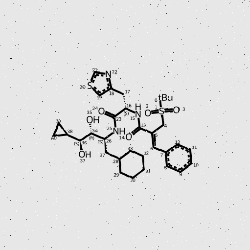 CC(C)(C)S(=O)(=O)CC(=Cc1ccccc1)C(=O)N[C@@H](Cc1cscn1)C(=O)N[C@@H](CC1CCCCC1)[C@@H](O)[C@@H](O)C1CC1